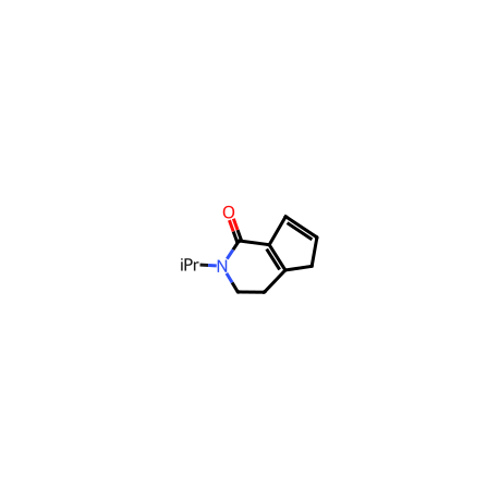 CC(C)N1CCC2=C(C=CC2)C1=O